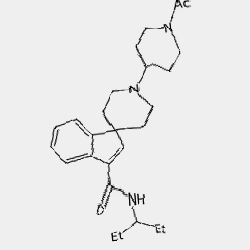 CCC(CC)NC(=O)C1=CC2(CCN(C3CCN(C(C)=O)CC3)CC2)c2ccccc21